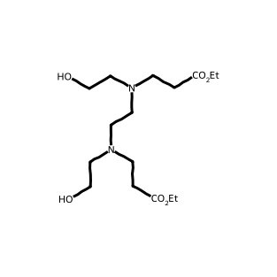 CCOC(=O)CCN(CCO)CCN(CCO)CCC(=O)OCC